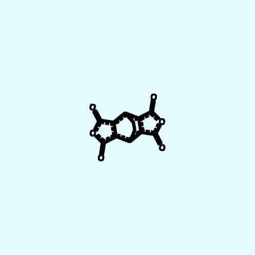 O=c1oc(=O)c2c3c4c(=O)oc(=O)c4c(c12)CC3